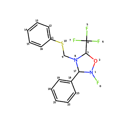 FN1OC(C(F)(F)F)N(CSc2ccccc2)C1c1ccccc1